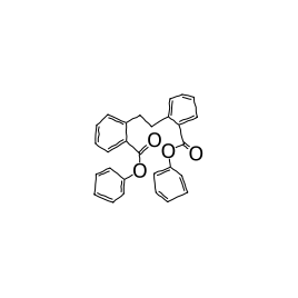 O=C(Oc1ccccc1)c1ccccc1CCc1ccccc1C(=O)Oc1ccccc1